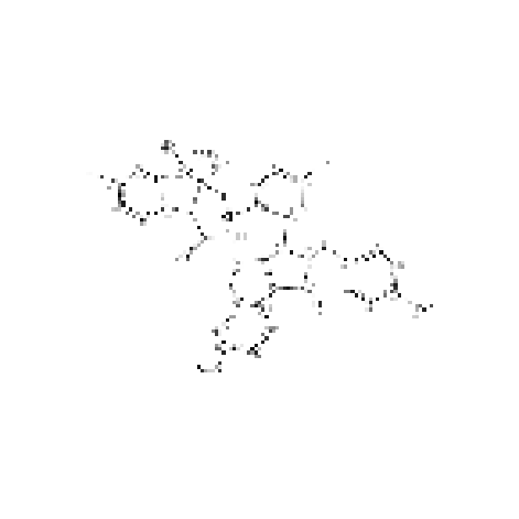 [2H]C1([2H])N(C(=O)Nc2cc3nc(OC)ccc3c3c2C(c2cc(F)ccc2Cl)N(Cc2ccc(OC)cc2)C3=O)c2ccc(F)cc2C1(O)C(F)(F)F